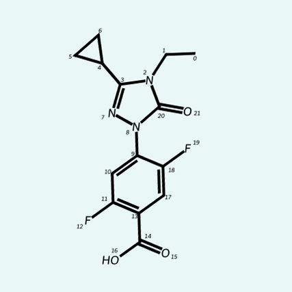 CCn1c(C2CC2)nn(-c2cc(F)c(C(=O)O)cc2F)c1=O